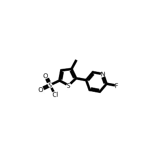 Cc1cc(S(=O)(=O)Cl)sc1-c1ccc(F)nc1